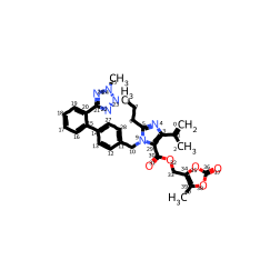 C=C(C)c1nc(CCC)n(Cc2ccc(-c3ccccc3-c3nnn(C)n3)cc2)c1C(=O)OCc1oc(=O)oc1C